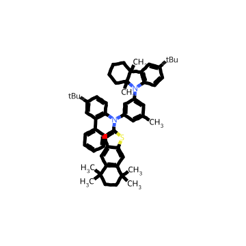 Cc1cc(N(c2cc3cc4c(cc3s2)C(C)(C)CCC4(C)C)c2ccc(C(C)(C)C)cc2-c2ccccc2)cc(N2c3ccc(C(C)(C)C)cc3C3(C)CCCCC23C)c1